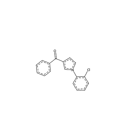 O=C(c1ccccc1)c1ccn(-c2ccccc2Cl)c1